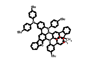 CC(C)(C)c1ccc(N2B3c4cc5c(cc4N(c4ccc(C(C)(C)C)cc4-c4ccccc4)c4c3c(cc3c4sc4ccccc43)-c3cc(N(c4ccc(C(C)(C)C)cc4)c4ccc(C(C)(C)C)cc4)ccc32)C(C)(C)c2ccccc2-5)cc1